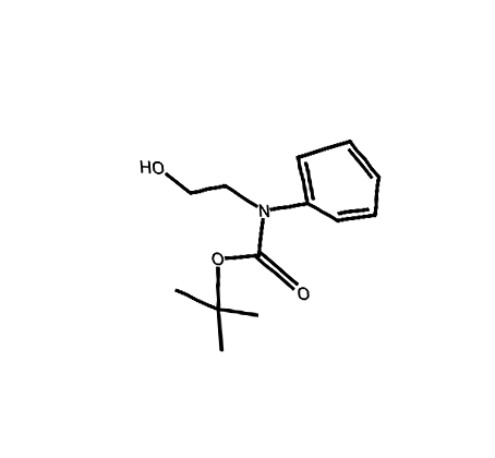 CC(C)(C)OC(=O)N(CCO)c1ccccc1